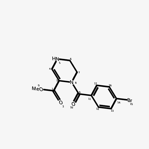 COC(=O)C1=CNCCN1C(=O)c1ccc(Br)cc1